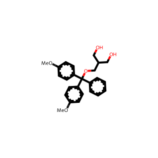 COc1ccc(C(OCC(CO)CO)(c2ccccc2)c2ccc(OC)cc2)cc1